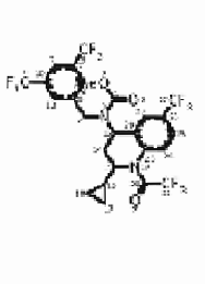 COC(=O)N(Cc1cc(C(F)(F)F)cc(C(F)(F)F)c1)C1CC(C2CC2)N(C(=O)C(F)(F)F)c2ccc(C(F)(F)F)cc21